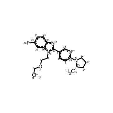 CCOCCn1c(-c2ccc(N3CCC[C@@H]3C)nc2)nc2ccc(F)cc21